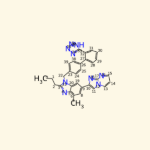 CCCc1nc2c(C)cc(-c3cn4cccnc4n3)cc2n1Cc1ccc(-c2ccccc2-c2nnn[nH]2)cc1